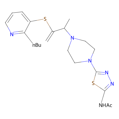 C=C(Sc1cccnc1CCCC)C(C)N1CCN(c2nnc(NC(C)=O)s2)CC1